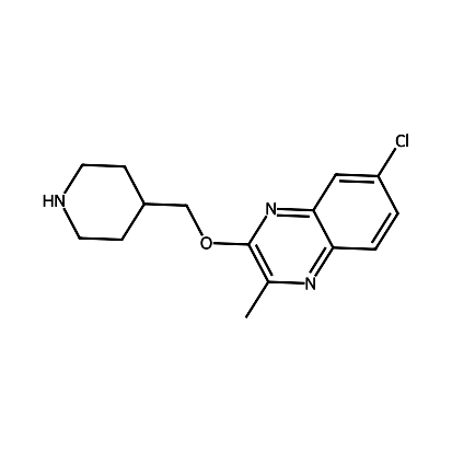 Cc1nc2ccc(Cl)cc2nc1OCC1CCNCC1